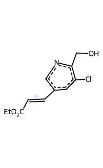 CCOC(=O)/C=C/c1cnc(CO)c(Cl)c1